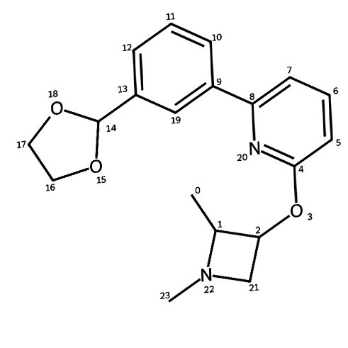 CC1C(Oc2cccc(-c3cccc(C4OCCO4)c3)n2)CN1C